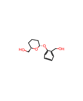 OCc1ccccc1O[C@H]1CCC[C@H](CO)O1